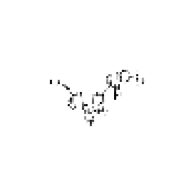 CC#CC(=O)N1CCCC1C1=C2C=NC=C[N+]2(N)C(c2ccc(C(=O)Nc3cc(C(F)(F)F)ccn3)cc2)=N1